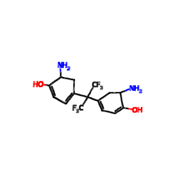 NC1CC(C(C2=CC=C(O)C(N)C2)(C(F)(F)F)C(F)(F)F)=CC=C1O